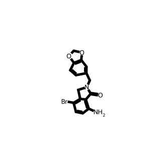 Nc1ccc(Br)c2c1C(=O)N(Cc1ccc3c(c1)OCO3)C2